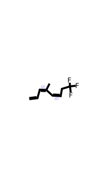 C=C/C=C(C)\C=C/CC(F)(F)F